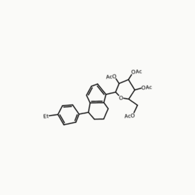 CCc1ccc(C2CCCc3c2cccc3C2OC(COC(C)=O)C(OC(C)=O)C(OC(C)=O)C2OC(C)=O)cc1